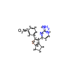 Nc1nccc(-c2c(-c3cccc([N+](=O)[O-])c3)sc3c2CCC3)n1